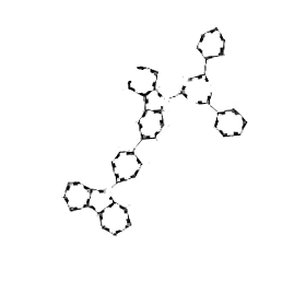 c1ccc(-c2nc(-c3ccccc3)nc(-n3c4ccccc4c4cc(-c5ccc(-n6c7ccccc7c7ccccc76)cc5)ccc43)n2)cc1